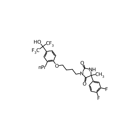 CCCc1cc(C(O)(C(F)(F)F)C(F)(F)F)ccc1OCCCCN1C(=O)NC(C)(c2ccc(F)c(F)c2)C1=O